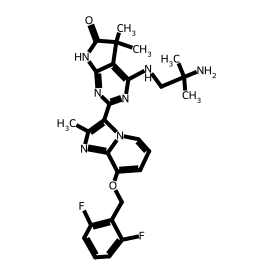 Cc1nc2c(OCc3c(F)cccc3F)cccn2c1-c1nc(NCC(C)(C)N)c2c(n1)NC(=O)C2(C)C